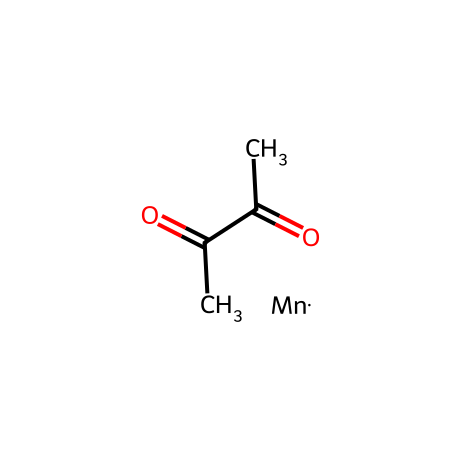 CC(=O)C(C)=O.[Mn]